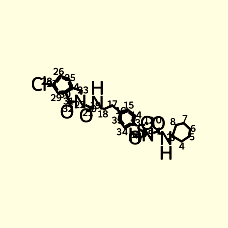 O=C(NC1CCCCC1)NS(=O)(=O)c1ccc(CCNC(=O)N2Cc3ccc(Cl)cc3C2=O)cc1